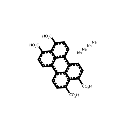 O=C(O)c1ccc2c3ccc(C(=O)O)c4c(C(=O)O)ccc(c5ccc(C(=O)O)c1c25)c43.[Na].[Na].[Na].[Na]